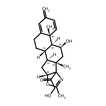 C=C1C=C[C@@]2(C)C(=C1)CC[C@@H]1[C@@H]2[C@@H](O)C[C@@]2(C)[C@H]1C[C@H]1OC(C)=NC12C(=O)CO